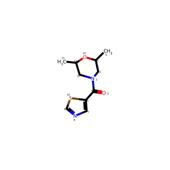 CC1CN(C(=O)c2cn[c]s2)CC(C)O1